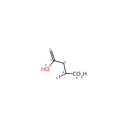 C=C(O)CC(I)C(=O)O